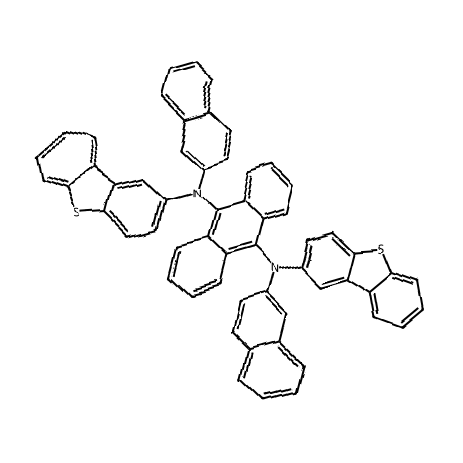 c1ccc2cc(N(c3ccc4sc5ccccc5c4c3)c3c4ccccc4c(N(c4ccc5ccccc5c4)c4ccc5sc6ccccc6c5c4)c4ccccc34)ccc2c1